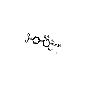 CCC(CC(c1ccc([N+](=O)[O-])cc1)N(C)C)N=C=N